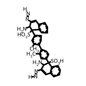 [H]/N=N/C1=Cc2ccccc2C(c2ccc(-c3ccc(C4(S(=O)(=O)O)c5ccccc5C=C(/N=N/[H])C4N)cc3C)c(C)c2)(S(=O)(=O)O)C1N